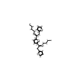 CCCCN=C(Cc1ccco1)c1ccc(C(Cc2ccco2)=NCCCC)o1